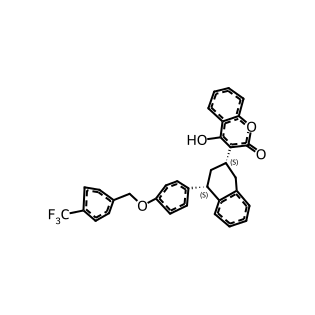 O=c1oc2ccccc2c(O)c1[C@@H]1Cc2ccccc2[C@H](c2ccc(OCc3ccc(C(F)(F)F)cc3)cc2)C1